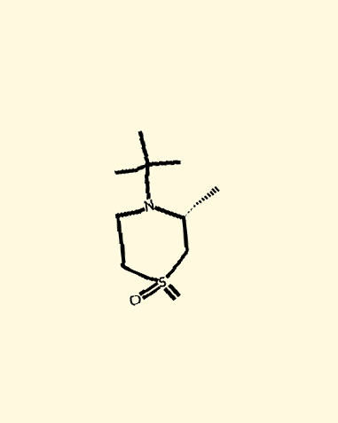 C=S1(=O)CCN(C(C)(C)C)[C@H](C)C1